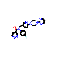 O=C(c1ccnnc1)N(Cc1ccc(N2CCN(c3ncccn3)CC2)nc1)c1ccc(F)cc1